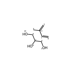 C=CC(=C)C.OCC(O)CO